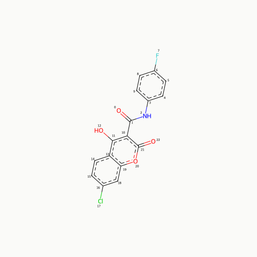 O=C(Nc1ccc(F)cc1)c1c(O)c2ccc(Cl)cc2oc1=O